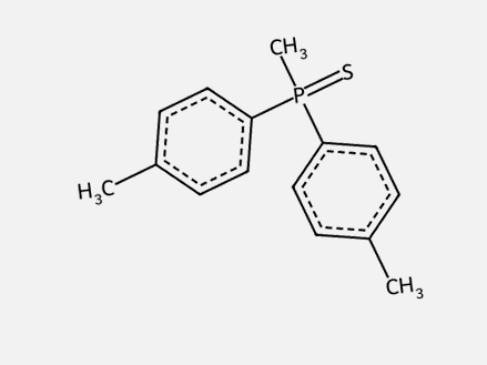 Cc1ccc(P(C)(=S)c2ccc(C)cc2)cc1